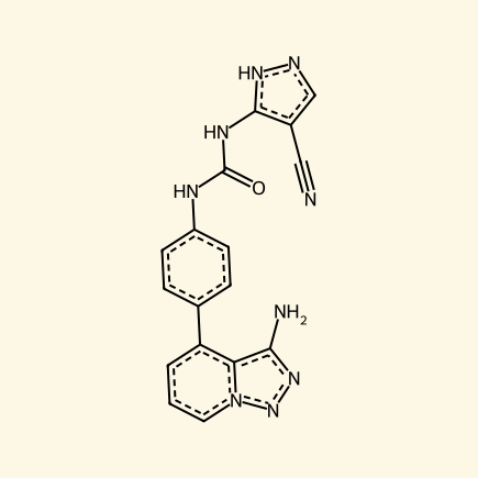 N#Cc1cn[nH]c1NC(=O)Nc1ccc(-c2cccn3nnc(N)c23)cc1